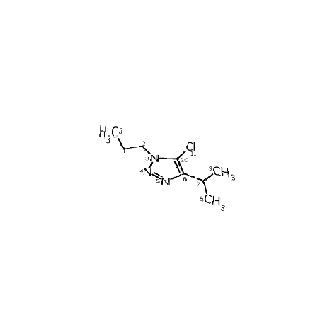 CCCn1nnc(C(C)C)c1Cl